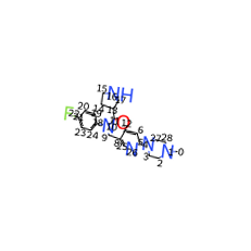 CN1CCN(c2ccc(CN(C(=O)C3CCNC3)c3ccc(F)cc3)cn2)CC1